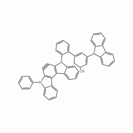 N#CC1C=C(n2c3ccccc3c3ccccc32)C=C(c2ccccc2-n2c3c#cc4c(c5ccccc5n4-c4ccccc4)c3c3ccccc32)C1